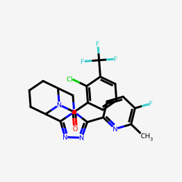 Cc1nc(-c2nnc3n2CC2CCCC3N2C(=O)c2cccc(C(F)(F)F)c2Cl)ccc1F